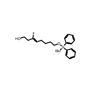 CC(C)(C)[Si](OCCCC/C=C(\F)CCO)(c1ccccc1)c1ccccc1